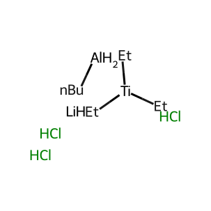 CCC[CH2][AlH2].C[CH2][Ti]([CH2]C)[CH2]C.Cl.Cl.Cl.[LiH]